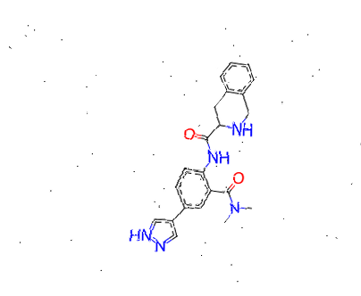 CN(C)C(=O)c1cc(-c2cn[nH]c2)ccc1NC(=O)C1Cc2ccccc2CN1